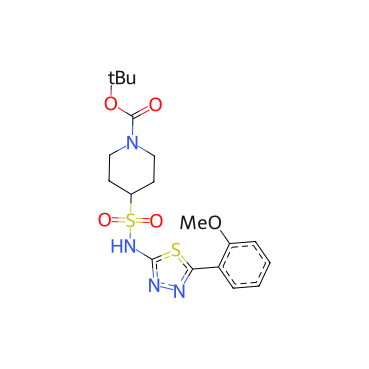 COc1ccccc1-c1nnc(NS(=O)(=O)C2CCN(C(=O)OC(C)(C)C)CC2)s1